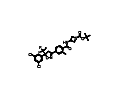 Cc1cc(C2=NO[C@@](c3cc(Cl)cc(Cl)c3)(C(F)(F)F)C2)ccc1C(=O)NC1CN(C(=O)OC(C)(C)C)C1